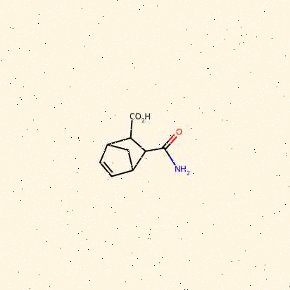 NC(=O)C1C2C=CC(C2)C1C(=O)O